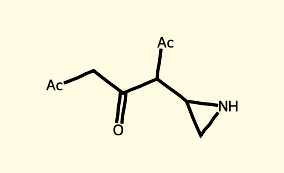 CC(=O)CC(=O)C(C(C)=O)C1CN1